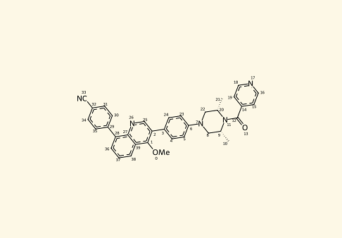 COc1c(-c2ccc(N3C[C@@H](C)N(C(=O)c4ccncc4)[C@@H](C)C3)cc2)cnc2c(-c3ccc(C#N)cc3)cccc12